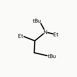 CCC(CC(C)(C)C)N(CC)C(C)(C)C